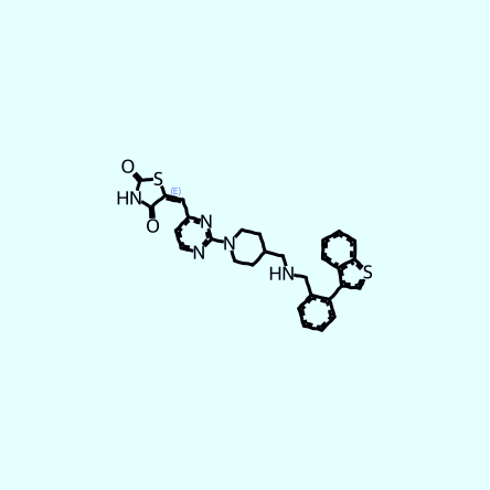 O=C1NC(=O)/C(=C\c2ccnc(N3CCC(CNCc4ccccc4-c4csc5ccccc45)CC3)n2)S1